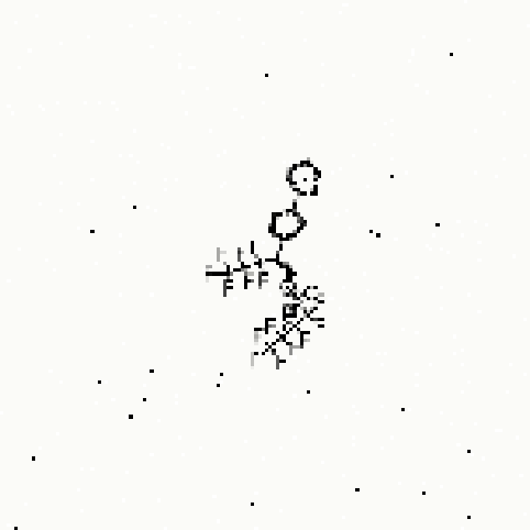 O=S(=O)(ON=C(c1ccc(-c2ccccc2)cc1)C(F)(F)C(F)(F)C(F)(F)F)C(F)(F)C(F)(F)C(F)(F)C(F)(F)F